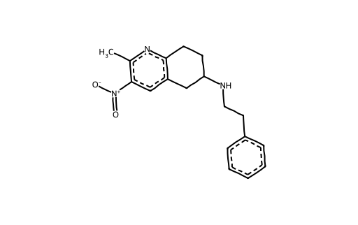 Cc1nc2c(cc1[N+](=O)[O-])CC(NCCc1ccccc1)CC2